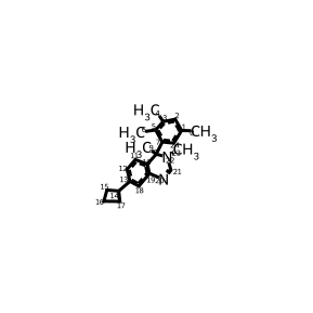 Cc1cc(C)c(C)c(C2(C)c3ccc(C4CCC4)cc3N=CN2C)c1